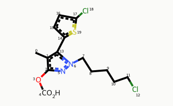 Cc1c(OC(=O)O)nn(CCCCCCl)c1-c1ccc(Cl)s1